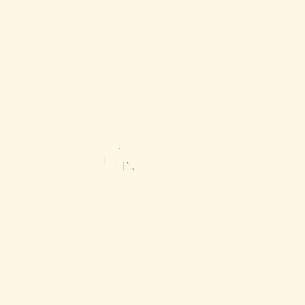 CC(Cl)(Cl)Nc1ccccc1